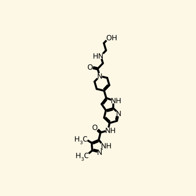 Cc1n[nH]c(C(=O)Nc2cnc3[nH]c(C4=CCN(C(=O)CNCCO)CC4)cc3c2)c1C